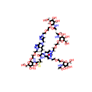 CC(=O)N[C@H]1[C@H](OCCOCCn2cc(CN(CCCC[C@@H](C(=O)NCCS)N(Cc3cn(CCOCCO[C@@H]4O[C@H](CO)[C@H](O)[C@H](O)[C@H]4NC(C)=O)nn3)Cc3cn(CCOCCO[C@@H]4O[C@H](CO)[C@H](O)[C@H](O)[C@H]4NC(C)=O)nn3)Cc3cn(CCOCCO[C@@H]4O[C@H](CO)[C@H](O)[C@H](O)[C@H]4NC(C)=O)nn3)nn2)O[C@H](CO)[C@H](O)[C@@H]1O